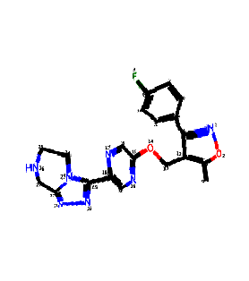 Cc1onc(-c2ccc(F)cc2)c1COc1cnc(-c2nnc3n2CCNC3)cn1